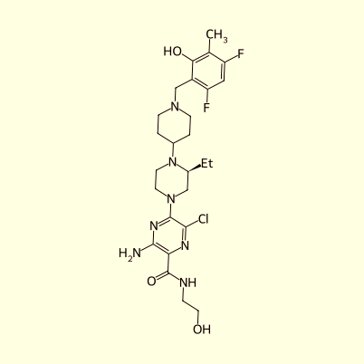 CC[C@H]1CN(c2nc(N)c(C(=O)NCCO)nc2Cl)CCN1C1CCN(Cc2c(F)cc(F)c(C)c2O)CC1